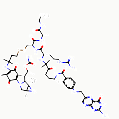 CO[C@]12[C@H]3N[C@H]3CN1C1=C(C(=O)C(NC(C)(C)CCSSC[C@H](NC(=O)[C@H](CCCNC(=N)N)NC(C)(C)C(=O)CC[C@H](NC(=O)c3ccc(NCc4cnc5nc(N)[nH]c(=O)c5n4)cc3)C(=O)O)C(=O)N[C@@H](C)C(=O)NCC(=O)O)=C(C)C1=O)[C@H]2[C@@H](C)OC(N)=O